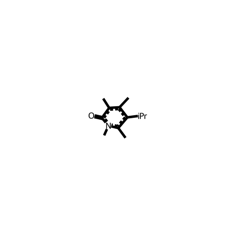 Cc1c(C(C)C)c(C)n(C)c(=O)c1C